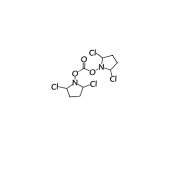 O=C(ON1C(Cl)CCC1Cl)ON1C(Cl)CCC1Cl